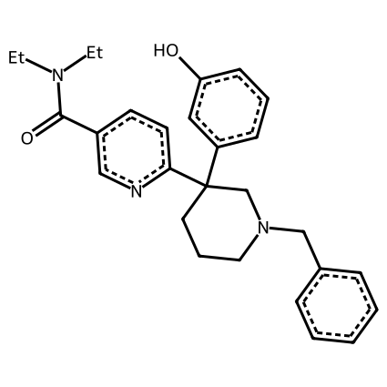 CCN(CC)C(=O)c1ccc(C2(c3cccc(O)c3)CCCN(Cc3ccccc3)C2)nc1